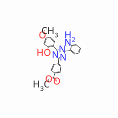 COC(=O)c1ccc(-c2nc(-c3ccccc3N)nc(-c3ccc(OC)cc3O)n2)cc1